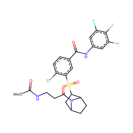 COC(=O)NCCC(=O)N1C2CCC1C(S(=O)(=O)c1cc(C(=O)Nc3cc(F)c(F)c(F)c3)ccc1Cl)C2